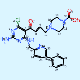 Nc1nc(Cl)c(C(=O)C=CCN2CCN(C(=O)O)CC2)c(NCc2ccc(-c3ccccc3)cn2)n1